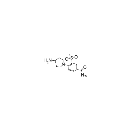 C=NC(=O)c1ccc(N2CCC(N)CC2)c(S(C)(=O)=O)c1